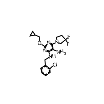 Nc1c(NCc2ccccc2Cl)nc(OCC2CC2)nc1N1CCC(F)(F)C1